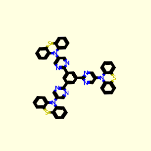 c1ccc2c(c1)Sc1ccccc1N2c1cnc(-c2cc(-c3ncc(N4c5ccccc5Sc5ccccc54)cn3)cc(-c3ncc(N4c5ccccc5Sc5ccccc54)cn3)c2)nc1